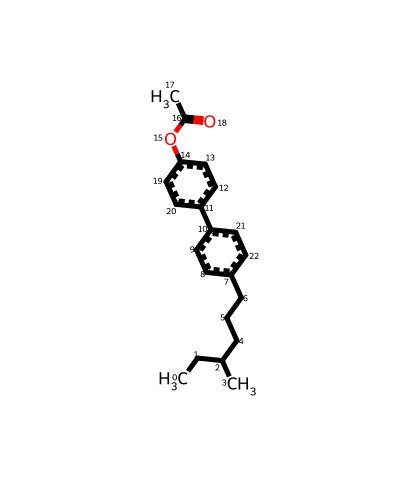 CCC(C)CCCc1ccc(-c2ccc(OC(C)=O)cc2)cc1